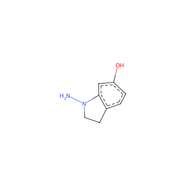 NN1CCc2ccc(O)cc21